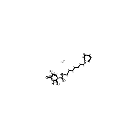 O=C(NCCCCCCC[n+]1ccccc1)n1cc(F)c(=O)[nH]c1=O.[I-]